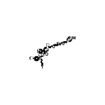 O=C(CCOCCOCCOCCN1CCNCC1)N1CCC2(CC1)C(=O)N(Cc1nc3cc(Cl)ccc3n1CCCCF)c1cnccc12